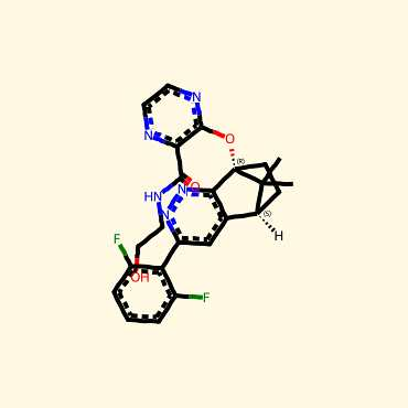 CC1(C)[C@H]2CC[C@]1(Oc1nccnc1C(=O)NCCO)c1nnc(-c3c(F)cccc3F)cc12